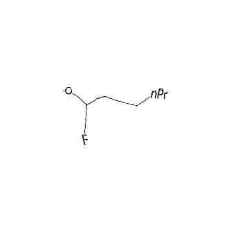 CCCCCC([O])F